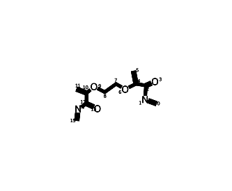 C=NC(=O)C(=C)OCCOC(=C)C(=O)N=C